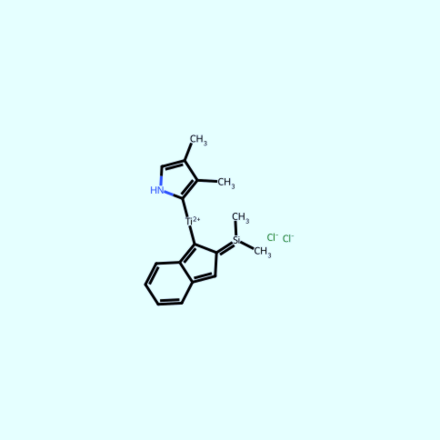 Cc1c[nH][c]([Ti+2][C]2=c3ccccc3=CC2=[Si](C)C)c1C.[Cl-].[Cl-]